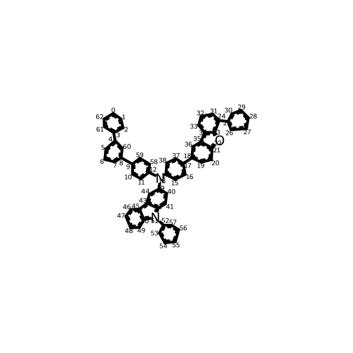 c1ccc(-c2cccc(-c3ccc(N(c4ccc(-c5ccc6oc7c(-c8ccccc8)cccc7c6c5)cc4)c4ccc5c(c4)c4ccccc4n5-c4ccccc4)cc3)c2)cc1